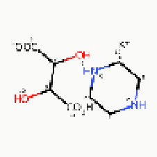 C1CNCCN1.O=C([O-])C(O)C(O)C(=O)O.[K+]